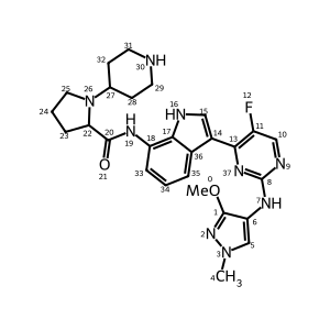 COc1nn(C)cc1Nc1ncc(F)c(-c2c[nH]c3c(NC(=O)C4CCCN4C4CCNCC4)cccc23)n1